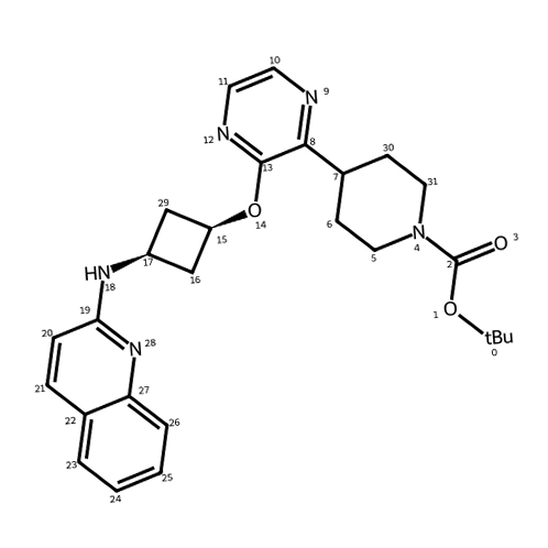 CC(C)(C)OC(=O)N1CCC(c2nccnc2O[C@H]2C[C@@H](Nc3ccc4ccccc4n3)C2)CC1